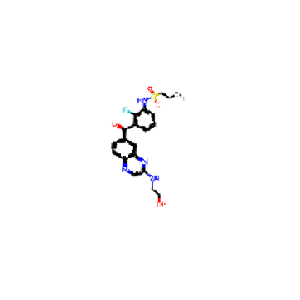 CCCS(=O)(=O)Nc1cccc(C(=O)c2ccc3ncc(NCCO)nc3c2)c1F